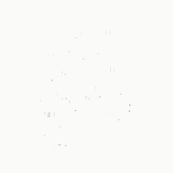 Cc1ccc(C(=O)N(CCCN)[C@H](CC(C)C)c2nc(-c3ccccc3)cn2Cc2ccccc2)cc1